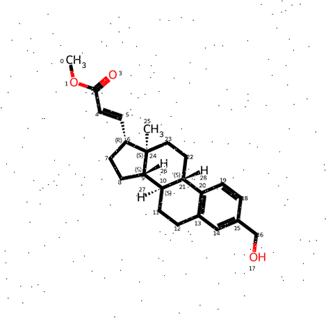 COC(=O)C=C[C@H]1CC[C@H]2[C@@H]3CCc4cc(CO)ccc4[C@H]3CC[C@]12C